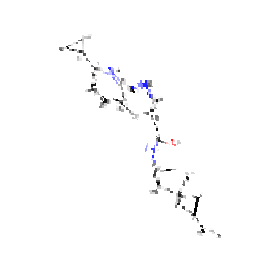 CC1CC2(C1)CC(NC(=O)c1cnc3nc(C4CC4)ccc3c1)C2